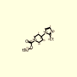 CCc1nccn1C1CCN(C(=O)OC(C)(C)C)CC1